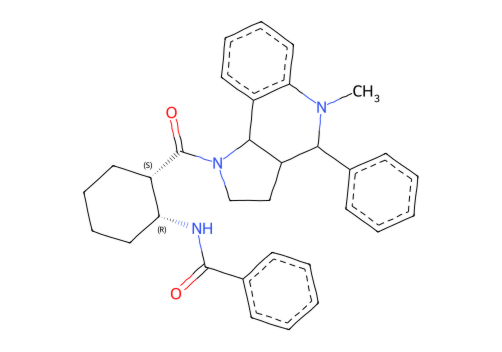 CN1c2ccccc2C2C(CCN2C(=O)[C@H]2CCCC[C@H]2NC(=O)c2ccccc2)C1c1ccccc1